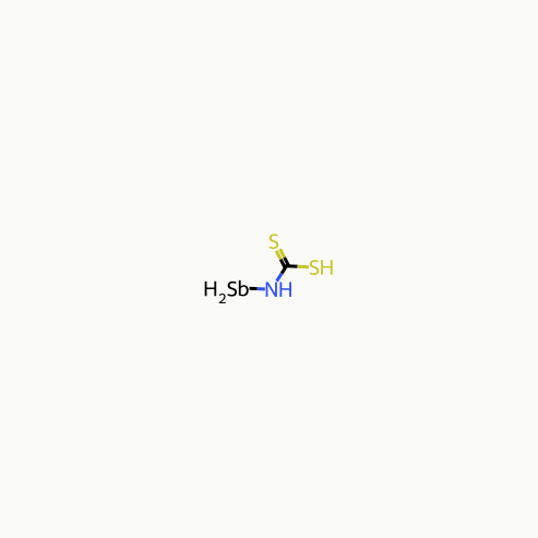 S=C(S)[NH][SbH2]